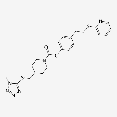 Cn1nnnc1SCC1CCN(C(=O)Oc2ccc(CCSc3ccccn3)cc2)CC1